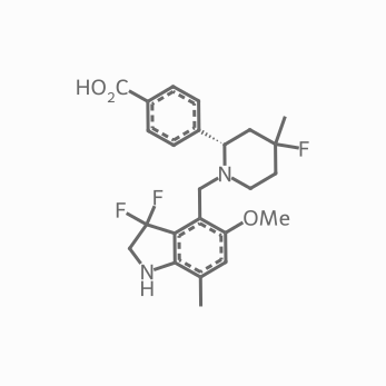 COc1cc(C)c2c(c1CN1CCC(C)(F)C[C@H]1c1ccc(C(=O)O)cc1)C(F)(F)CN2